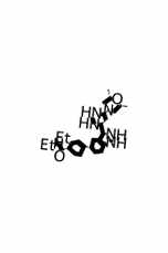 CCN(CC)C(=O)[C@@H]1CC=C([C@H]2CCC3=C(C2)[C@H]([C@H]2C[C@@H](N4C[C@@H](C)O[C@@H](C)C4)NCN2)NN3)CC1